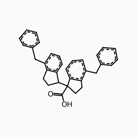 O=C(O)C1(C2CCc3c(Cc4ccccc4)cccc32)CCc2c(Cc3ccccc3)cccc21